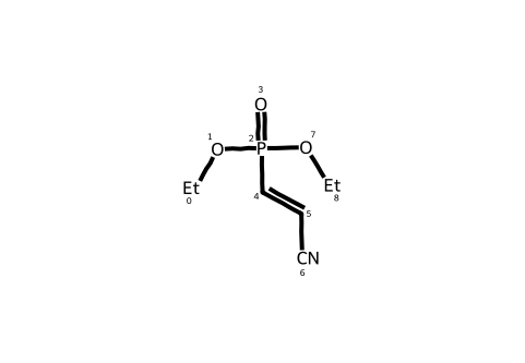 CCOP(=O)(C=CC#N)OCC